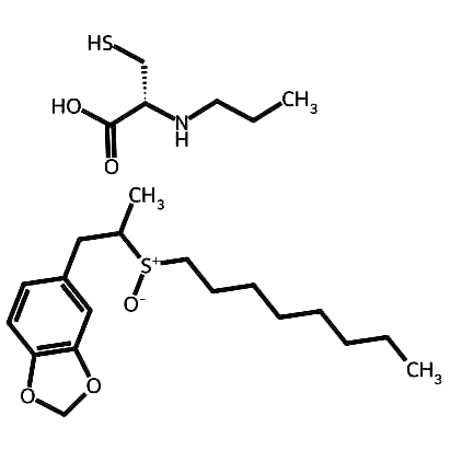 CCCCCCCC[S+]([O-])C(C)Cc1ccc2c(c1)OCO2.CCCN[C@@H](CS)C(=O)O